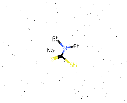 CCN(CC)C(=S)S.[Na]